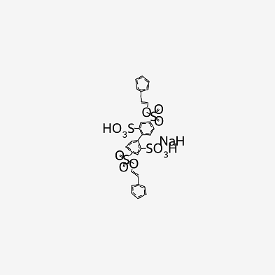 O=S(=O)(O)c1cc(S(=O)(=O)OC=Cc2ccccc2)ccc1-c1ccc(S(=O)(=O)OC=Cc2ccccc2)cc1S(=O)(=O)O.[NaH]